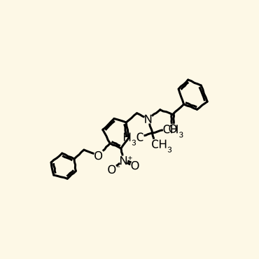 CC(C)(C)N(CC(=O)c1ccccc1)Cc1ccc(OCc2ccccc2)c([N+](=O)[O-])c1